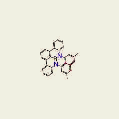 Cc1cc(C)cc(N2B3c4c(cccc4-c4ccccc4N3c3cc(C)cc(C)c3)-c3ccccc32)c1